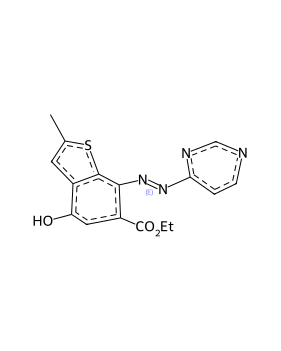 CCOC(=O)c1cc(O)c2cc(C)sc2c1/N=N/c1ccncn1